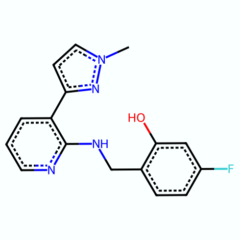 Cn1ccc(-c2cccnc2NCc2ccc(F)cc2O)n1